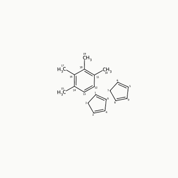 C1=CCC=C1.C1=CCC=C1.Cc1ccc(C)c(C)c1C